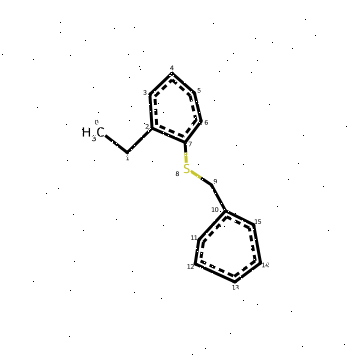 CCc1ccc[c]c1SCc1ccccc1